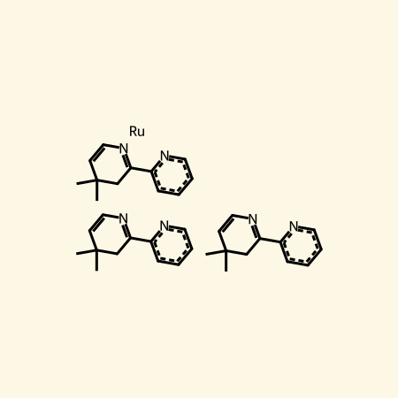 CC1(C)C=CN=C(c2ccccn2)C1.CC1(C)C=CN=C(c2ccccn2)C1.CC1(C)C=CN=C(c2ccccn2)C1.[Ru]